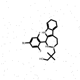 CC(C)(CO)CN1CCc2c([nH]c3c2=CCCC=3)C(c2c(F)cc(Br)cc2F)N1